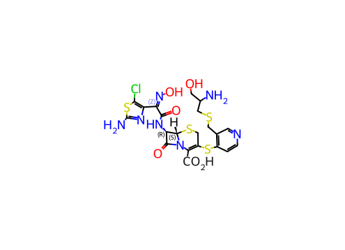 Nc1nc(/C(=N/O)C(=O)N[C@@H]2C(=O)N3C(C(=O)O)=C(Sc4ccncc4CSCC(N)CO)CS[C@@H]23)c(Cl)s1